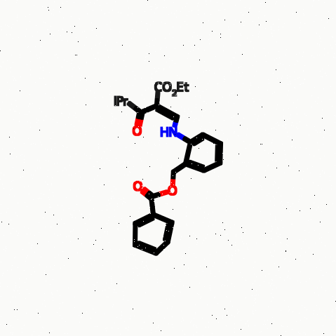 CCOC(=O)C(=CNc1ccccc1COC(=O)c1ccccc1)C(=O)C(C)C